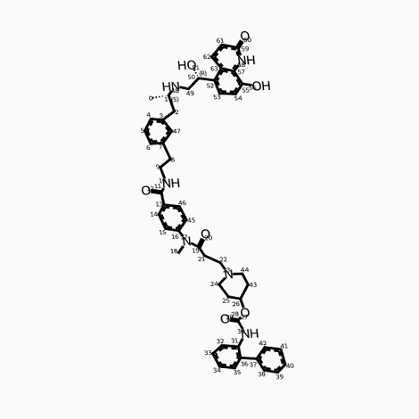 C[C@@H](Cc1cccc(CCNC(=O)c2ccc(N(C)C(=O)CCN3CCC(OC(=O)Nc4ccccc4-c4ccccc4)CC3)cc2)c1)NC[C@H](O)c1ccc(O)c2[nH]c(=O)ccc12